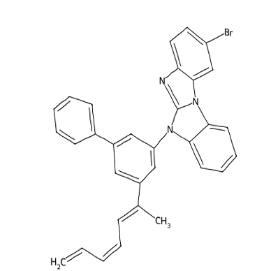 C=C/C=C\C=C(/C)c1cc(-c2ccccc2)cc(-n2c3ccccc3n3c4cc(Br)ccc4nc23)c1